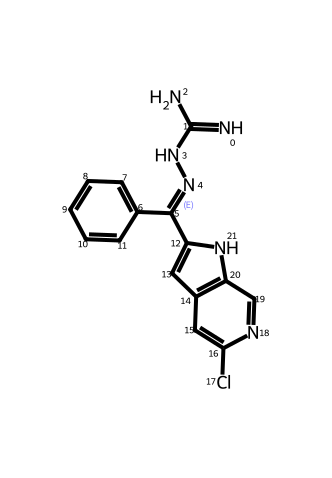 N=C(N)N/N=C(\c1ccccc1)c1cc2cc(Cl)ncc2[nH]1